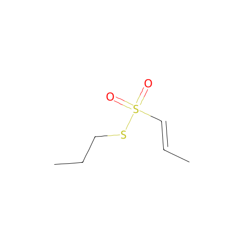 CC=CS(=O)(=O)SCCC